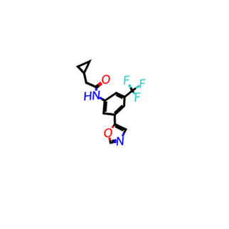 O=C(CC1CC1)Nc1cc(-c2cnco2)cc(C(F)(F)F)c1